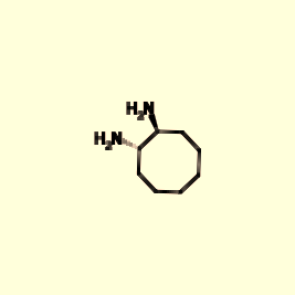 N[C@H]1CCCCCC[C@@H]1N